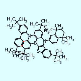 CC(C)(C)c1ccc(-c2cc(C(C)(C)C)ccc2N2c3ccc(C(C)(C)C)cc3B3c4sc5ccc(C(C)(C)C)cc5c4N(c4ccc5c(c4)C(C)(C)CCC5(C)C)c4cc(C(C)(C)C)cc2c43)cc1